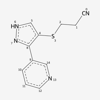 N#CCCSc1c[nH]nc1-c1cccnc1